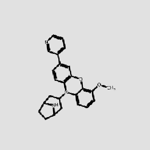 COc1cccc2c1Oc1cc(-c3cccnc3)ccc1N2C1CC2CCC(C1)N2